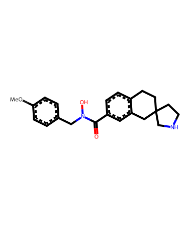 COc1ccc(CN(O)C(=O)c2ccc3c(c2)CC2(CCNC2)CC3)cc1